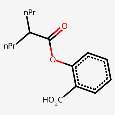 CCCC(CCC)C(=O)Oc1ccccc1C(=O)O